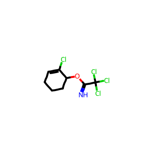 N=C(OC1CCCC=C1Cl)C(Cl)(Cl)Cl